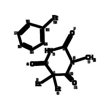 CCC1(CC)C(=O)NC(=O)N(C)C1=O.CCc1ccccc1